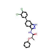 CC(Oc1ccccc1)C(=O)Nc1n[nH]c2cc(-c3ccc(Cl)c(Cl)c3)ccc12